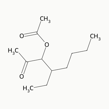 CCCCC(CC)C(OC(C)=O)C(C)=O